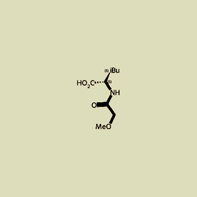 CC[C@H](C)[C@H](NC(=O)COC)C(=O)O